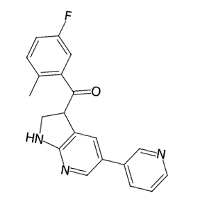 Cc1ccc(F)cc1C(=O)C1CNc2ncc(-c3cccnc3)cc21